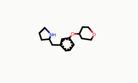 c1cc(CC2CCCN2)cc(OC2CCOCC2)c1